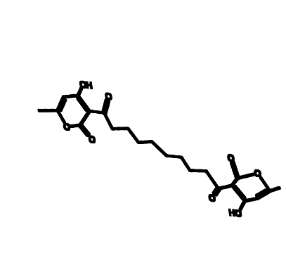 Cc1cc(O)c(C(=O)CCCCCCCCC(=O)c2c(O)cc(C)oc2=O)c(=O)o1